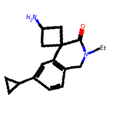 CCN1Cc2ccc(C3CC3)cc2C2(CC(N)C2)C1=O